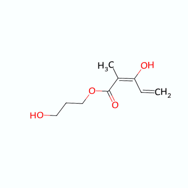 C=CC(O)=C(C)C(=O)OCCCO